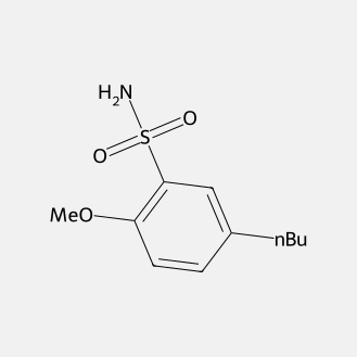 CCCCc1ccc(OC)c(S(N)(=O)=O)c1